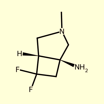 CN1C[C@H]2C(F)(F)C[C@@]2(N)C1